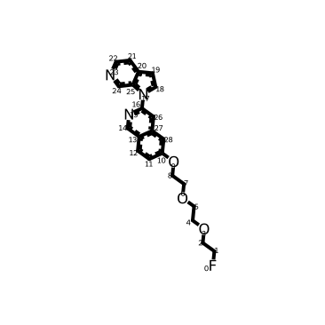 FCCOCCOCCOc1ccc2cnc(-n3ccc4ccncc43)cc2c1